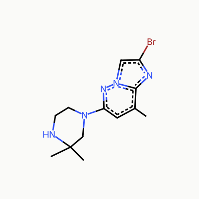 Cc1cc(N2CCNC(C)(C)C2)nn2cc(Br)nc12